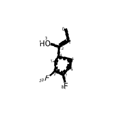 CC=C(O)c1ccc(F)c(F)c1